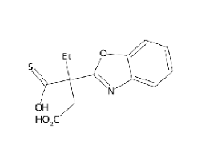 CCC(CC(=O)O)(C(O)=S)c1nc2ccccc2o1